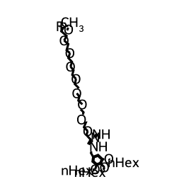 CCCCCCOc1cc(CN/C=C(/COCCOCCOCCOCCOCCOCCOCCOCCP(C)(=O)F)N=N)cc(OCCCCCC)c1OCCCCCC